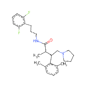 Cc1cccc(C)c1C(CN1CCCC1)C(C)C(=O)NCCCc1c(F)cccc1F